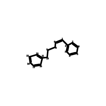 C(=C/c1ccccc1)/CCCc1ccccc1